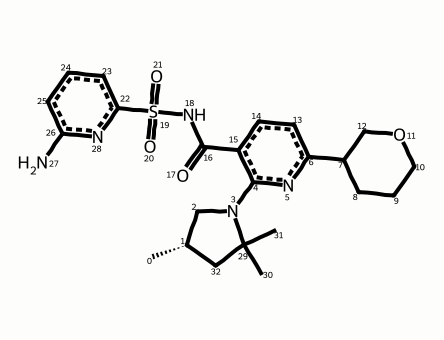 C[C@@H]1CN(c2nc(C3CCCOC3)ccc2C(=O)NS(=O)(=O)c2cccc(N)n2)C(C)(C)C1